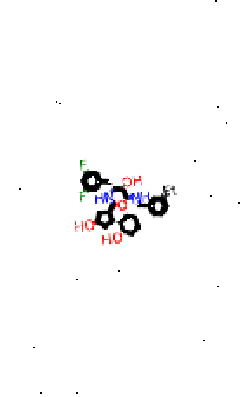 CCc1cccc(CNC[C@H](O)[C@@H](Cc2cc(F)cc(F)c2)NC(=O)C2CC(O)C[C@H]2C2CCCC[C@@H]2O)c1